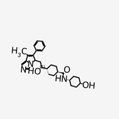 CC1=C(c2ccccc2)C(C[C@H](O)[C@H]2CC[C@H](C(=O)N[C@H]3CC[C@H](O)CC3)CC2)n2cncc21